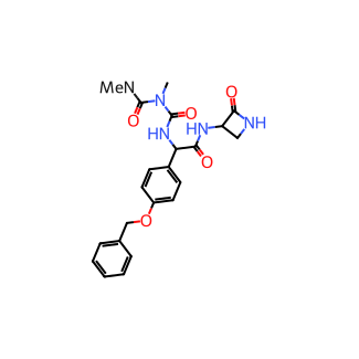 CNC(=O)N(C)C(=O)NC(C(=O)NC1CNC1=O)c1ccc(OCc2ccccc2)cc1